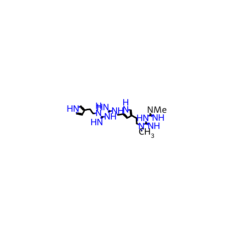 CNC(=N)NC(=N)N(C)CCc1c[nH]c(CNC(=N)NC(=N)NCCc2cc[nH]c2)c1